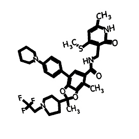 CSc1cc(C)[nH]c(=O)c1CNC(=O)c1cc(-c2ccc(N3CCCCC3)cc2)c2c(c1C)OC(C)(C1CCN(CC(F)(F)F)CC1)O2